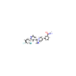 CNC(=O)c1cccc(-c2ccn3c(-c4ccnc(-c5ccc(F)cc5F)c4)cnc3c2)c1